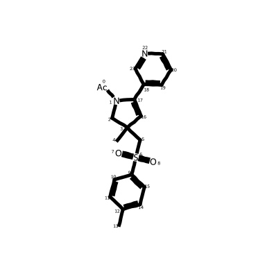 CC(=O)N1CC(C)(CS(=O)(=O)c2ccc(C)cc2)C=C1c1cccnc1